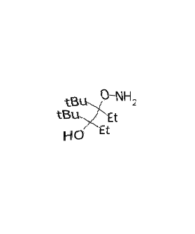 CCC(O)(C(C)(C)C)C(CC)(ON)C(C)(C)C